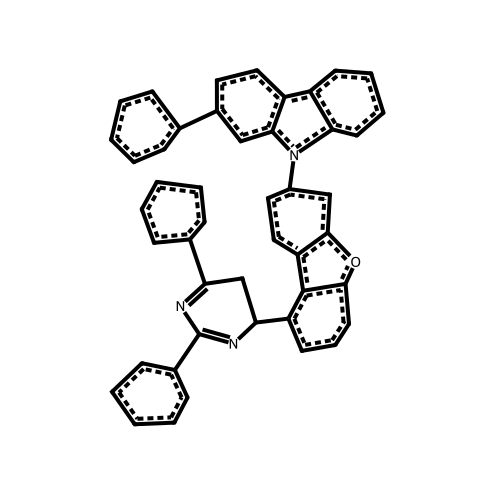 c1ccc(C2=NC(c3ccccc3)=NC(c3cccc4oc5cc(-n6c7ccccc7c7ccc(-c8ccccc8)cc76)ccc5c34)C2)cc1